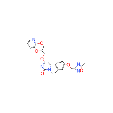 Cc1nc(COc2ccc3c(c2)CCn2c-3cc(OCC3COc4ncccc4O3)nc2=O)no1